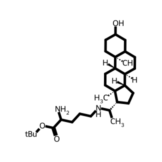 CC(NCCCC(N)C(=O)OC(C)(C)C)[C@H]1CC[C@H]2[C@@H]3CCC4CC(O)CC[C@]4(C)[C@H]3CC[C@]12C